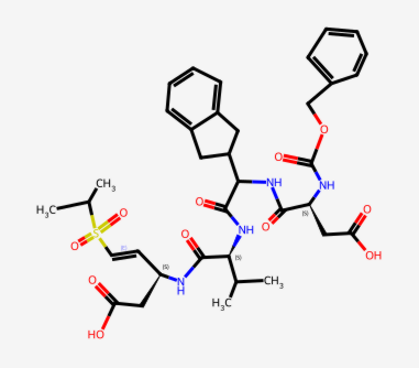 CC(C)[C@H](NC(=O)C(NC(=O)[C@H](CC(=O)O)NC(=O)OCc1ccccc1)C1Cc2ccccc2C1)C(=O)N[C@H](/C=C/S(=O)(=O)C(C)C)CC(=O)O